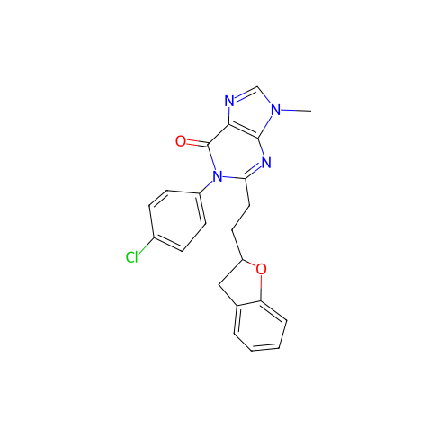 Cn1cnc2c(=O)n(-c3ccc(Cl)cc3)c(CCC3Cc4ccccc4O3)nc21